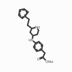 COC(=O)Cc1ccc(NC2CCNC(CCc3ccccc3)C2)cc1